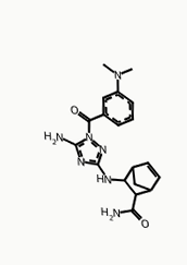 CN(C)c1cccc(C(=O)n2nc(NC3C4C=CC(C4)C3C(N)=O)nc2N)c1